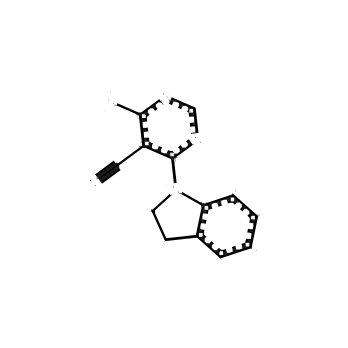 N#Cc1c(N)ncnc1N1CCc2ccccc21